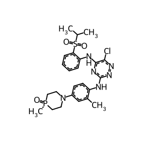 Cc1cc(N2CCP(C)(=O)CC2)ccc1Nc1nnc(Cl)c(Nc2ccccc2S(=O)(=O)C(C)C)n1